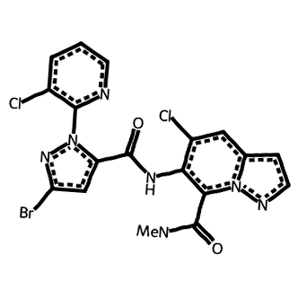 CNC(=O)c1c(NC(=O)c2cc(Br)nn2-c2ncccc2Cl)c(Cl)cc2ccnn12